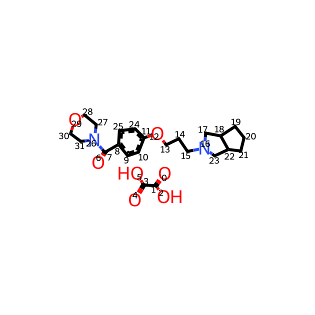 O=C(O)C(=O)O.O=C(c1ccc(OCCCN2CC3CCCC3C2)cc1)N1CCOCC1